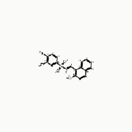 O=S(=O)(/N=C/c1c(O)ccc2ccccc12)c1ccc(F)c(F)c1